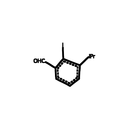 CC(C)c1cccc(C=O)c1I